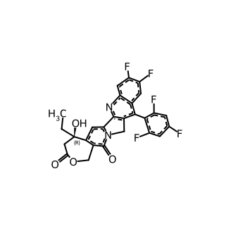 CC[C@@]1(O)CC(=O)OCc2c1cc1n(c2=O)Cc2c-1nc1cc(F)c(F)cc1c2-c1c(F)cc(F)cc1F